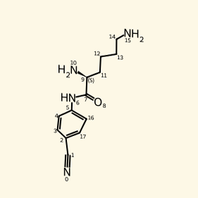 N#Cc1ccc(NC(=O)[C@@H](N)CCCCN)cc1